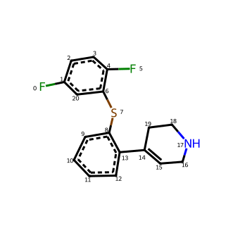 Fc1ccc(F)c(Sc2ccccc2C2=CCNCC2)c1